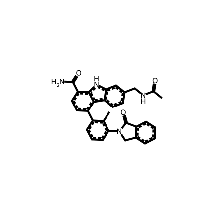 CC(=O)NCc1ccc2c(c1)[nH]c1c(C(N)=O)ccc(-c3cccc(N4Cc5ccccc5C4=O)c3C)c12